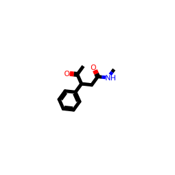 CNC(=O)CC(C(C)=O)c1ccccc1